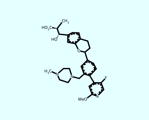 COc1cc(-c2ccc(C3CCc4ccc([C@H](O)[C@H](C)C(=O)O)cc4O3)cc2CN2CCN(C)CC2)c(F)cn1